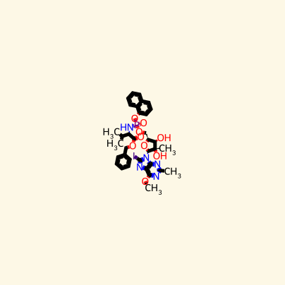 COc1nc(C)nc2c1nc(I)n2[C@@H]1O[C@H](COP(=O)(N[C@H](C(=O)OCc2ccccc2)C(C)C)Oc2cccc3ccccc23)[C@@H](O)[C@@]1(C)O